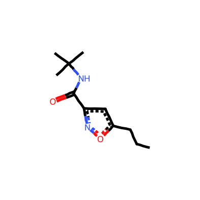 CCCc1cc(C(=O)NC(C)(C)C)no1